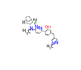 CN(c1ccc(-c2ccc(Cc3cnn(C)c3)cc2O)nn1)[C@@H]1C[C@H]2CC[C@H](C2)[C@@H]1F